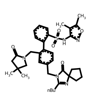 CCCCC1=NC2(CCCC2)C(=O)N1Cc1ccc(-c2ccccc2S(=O)(=O)Nc2noc(C)c2C)c(CN2CC(C)(C)CC2=O)c1